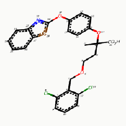 CC(CCOCc1c(Cl)cccc1Cl)(Oc1ccc(Oc2nc3ccccc3s2)cc1)C(=O)O